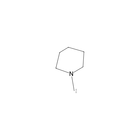 [C]N1CCCCC1